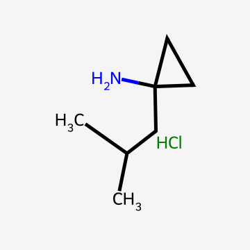 CC(C)CC1(N)CC1.Cl